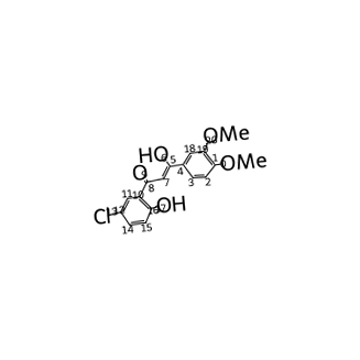 COc1ccc(/C(O)=C/C(=O)c2cc(Cl)ccc2O)cc1OC